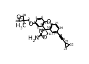 CC1(COc2ccc3c(c2)[C@]2(COC(N)=N2)c2cc(C#CC4CC4)ccc2O3)COC1